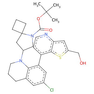 CC(C)(C)OC(=O)N1CC(N2CCCc3cc(Cl)cc(-c4ccnc5cc(CO)sc45)c32)CC12CCC2